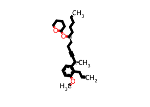 C=CCc1c(OC)cccc1[C@H](C)C#CCC[C@H](CCCCC)OC1CCCCO1